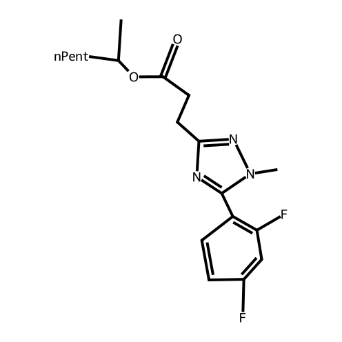 CCCCCC(C)OC(=O)CCc1nc(-c2ccc(F)cc2F)n(C)n1